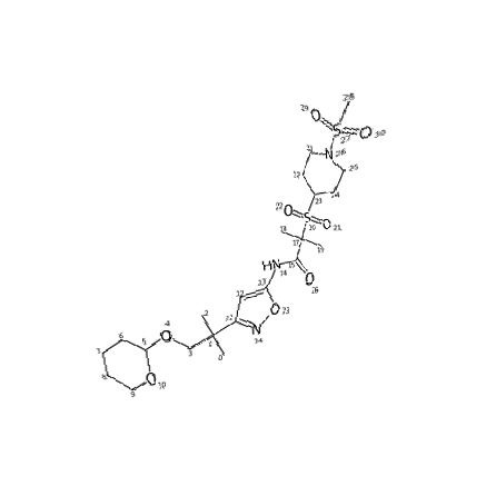 CC(C)(COC1CCCCO1)c1cc(NC(=O)C(C)(C)S(=O)(=O)C2CCN(S(C)(=O)=O)CC2)on1